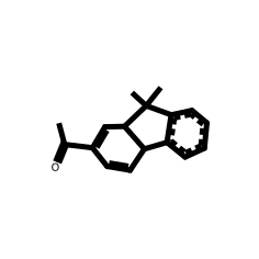 CC(=O)C1=CC2C(C=C1)c1ccccc1C2(C)C